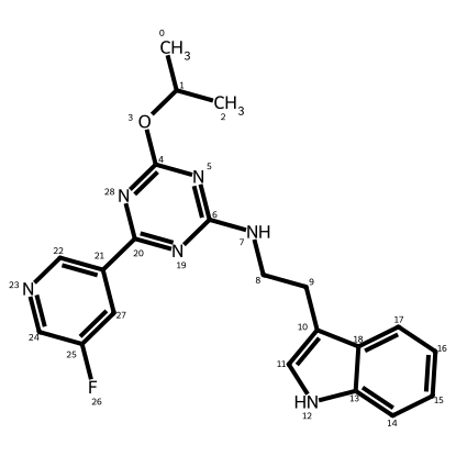 CC(C)Oc1nc(NCCc2c[nH]c3ccccc23)nc(-c2cncc(F)c2)n1